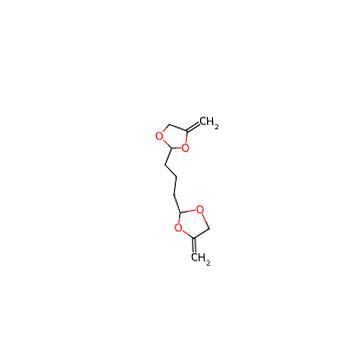 C=C1COC(CCCC2OCC(=C)O2)O1